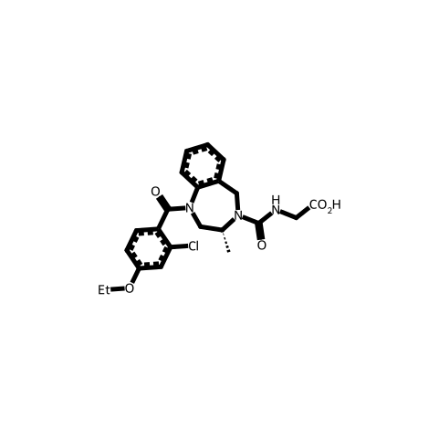 CCOc1ccc(C(=O)N2C[C@@H](C)N(C(=O)NCC(=O)O)Cc3ccccc32)c(Cl)c1